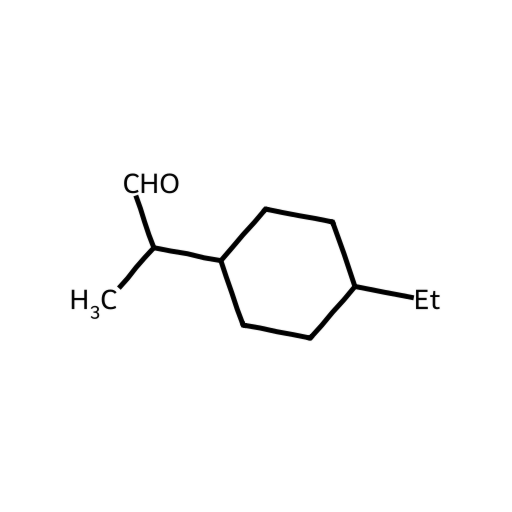 CCC1CCC(C(C)C=O)CC1